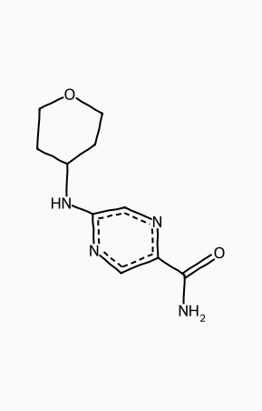 NC(=O)c1cnc(NC2CCOCC2)cn1